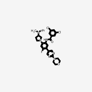 CCCN(C)C1CCN(c2cc(F)c(-c3cnc(N4CCOCC4)nc3)cc2NC(=O)c2cc(Cl)cc(Cl)c2)C1